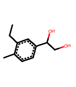 CCc1cc(C(O)CO)ccc1C